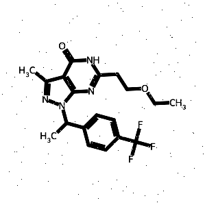 CCOCCc1nc2c(c(C)nn2C(C)c2ccc(C(F)(F)F)cc2)c(=O)[nH]1